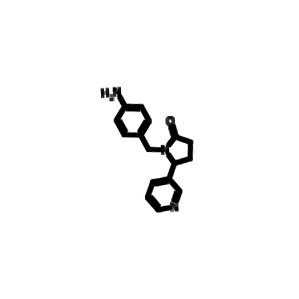 Nc1ccc(CN2C(=O)CCC2c2cccnc2)cc1